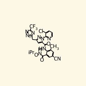 Cc1cc(C#N)cc(C(=O)NOC(C)C)c1NC(=O)c1cc(Cn2nnc(C(F)(F)F)n2)nn1-c1ncccc1Cl